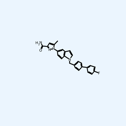 Cc1cc(C(N)=O)nn1-c1ccc2c(ccn2Cc2ccc(-c3ccc(F)cc3)cc2)c1